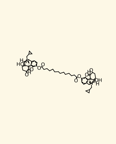 O=C(CCCCCCCCCCCCC(=O)Oc1ccc2c3c1O[C@H]1C(=O)CC[C@@]4(O)[C@@H](C2)N(CC2CC2)CC[C@]314)Oc1ccc2c3c1O[C@H]1C(=O)CC[C@@]4(O)[C@@H](C2)N(CC2CC2)CC[C@]314